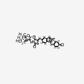 CC1(C)OC[C@@H](CN2C(=O)S/C(=C\c3ccc4c(cnn4Cc4ccc(Cl)cc4C(F)(F)F)c3)C2=O)N1C(=O)O